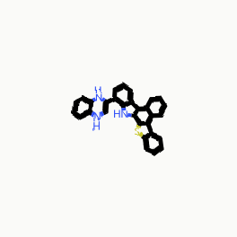 C1=C(c2cccc3c2[nH]c2c4sc5ccccc5c4c4ccccc4c32)Nc2ccccc2N1